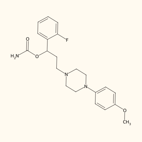 COc1ccc(N2CCN(CCC(OC(N)=O)c3ccccc3F)CC2)cc1